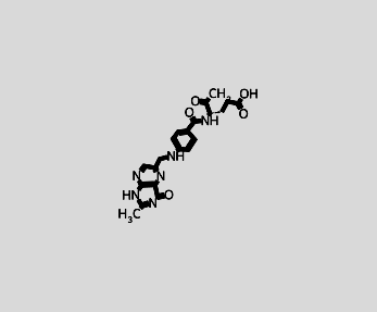 CC(=O)[C@H](CCC(=O)O)NC(=O)c1ccc(NCc2cnc3[nH]c(C)nc(=O)c3n2)cc1